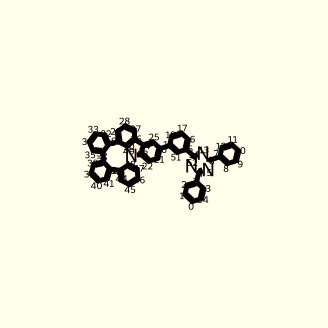 c1ccc(-c2nc(-c3ccccc3)nc(-c3cccc(-c4ccc5c(c4)c4cccc6c7ccccc7c7ccccc7c7ccccc7n5c64)c3)n2)cc1